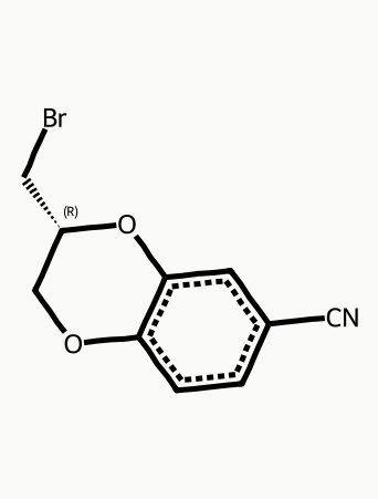 N#Cc1ccc2c(c1)O[C@@H](CBr)CO2